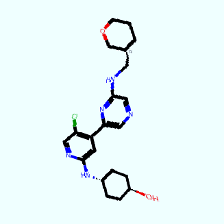 O[C@H]1CC[C@H](Nc2cc(-c3cncc(NC[C@@H]4CCCOC4)n3)c(Cl)cn2)CC1